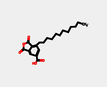 [CH2]CCCCCCCCCCCc1cc(C(=O)O)cc2c1C(=O)OC2=O